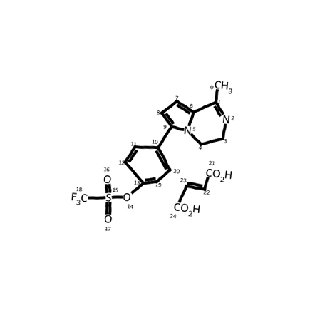 CC1=NCCn2c1ccc2-c1ccc(OS(=O)(=O)C(F)(F)F)cc1.O=C(O)/C=C/C(=O)O